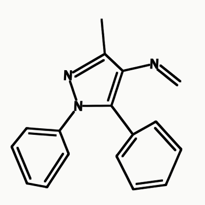 C=Nc1c(C)nn(-c2ccccc2)c1-c1ccccc1